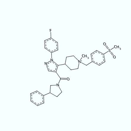 C[N+]1(Cc2ccc(S(C)(=O)=O)cc2)CCC(c2c(C(=O)N3CCC(c4ccccc4)C3)cnn2-c2ccc(F)cc2)CC1